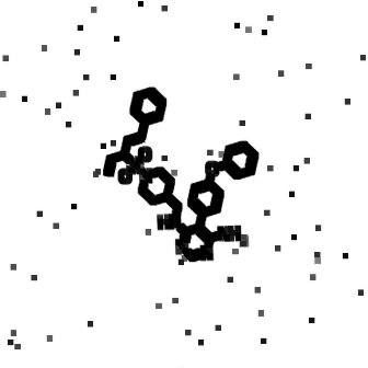 C=CC(C=Cc1ccccc1)S(=O)(=O)N1CCC(CNc2ncnc(N)c2-c2ccc(Oc3ccccc3)cc2)CC1